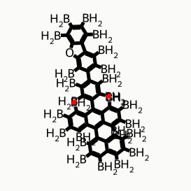 Bc1c(B)c(-c2c3c(B)c(B)c(B)c(B)c3c(-c3c(B)c(B)c(B)c4c(B)c(B)c(B)c(B)c34)c3c(B)c(B)c(B)c(B)c23)c(B)c(B)c1-c1c(B)c(B)c2c(oc3c(B)c(B)c(B)c(B)c32)c1B